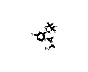 CC1(C)OB(c2cc(F)ccc2[C@@H]2C[C@H]2C(=O)O)OC1(C)C